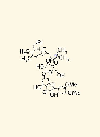 C/C=C(\C)[C@@H](CCC(C)CCCC(C)C(C)CCC(C)C)OC1C(CO)OC(Oc2cc(O)c3c(=O)c(O)c(-c4ccc(OC)c(OC)c4)oc3c2)C(O)C1O